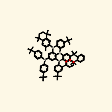 Cc1cc2c(cc1N1c3ccc(C(C)(C)C)cc3B3c4cc5c(cc4N(c4ccc(C(C)(C)C)cc4-c4ccccc4)c4cc(N(c6ccc(C(C)(C)C)cc6)c6ccc(C(C)(C)C)cc6)cc1c43)C(C)(C)c1ccccc1C5(C)C)C(C)(C)CCC2(C)C